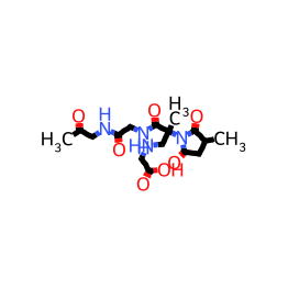 CC(=O)CNC(=O)CNC(=O)C(C)(CNCC(=O)O)N1C(=O)CC(C)C1=O